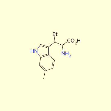 CCC(c1c[nH]c2cc(C)ccc12)C(N)C(=O)O